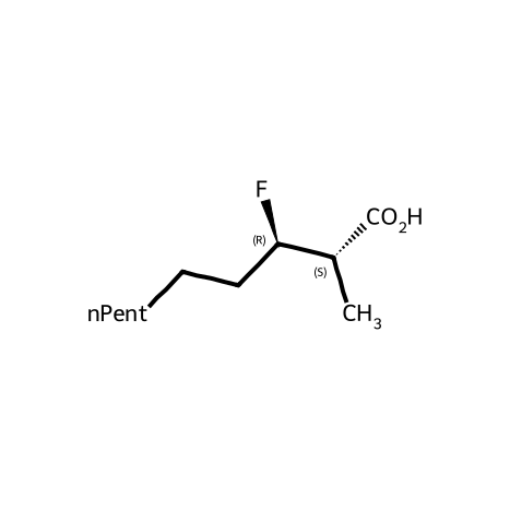 CCCCCCC[C@@H](F)[C@@H](C)C(=O)O